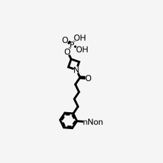 CCCCCCCCCc1ccccc1CCCCC(=O)N1CC(OP(=O)(O)O)C1